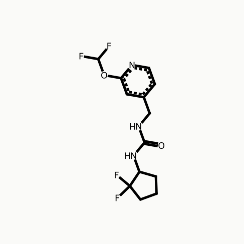 O=C(NCc1ccnc(OC(F)F)c1)NC1CCCC1(F)F